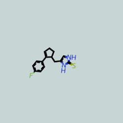 Fc1ccc(C2=CCCC2Cc2c[nH]c(=S)[nH]2)cc1